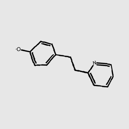 [O]c1ccc(CCc2ccccn2)cc1